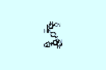 N#Cc1cc(NC2CCC(Oc3cc(N4CCOCC4)cc4nccnc34)CC2)ncn1